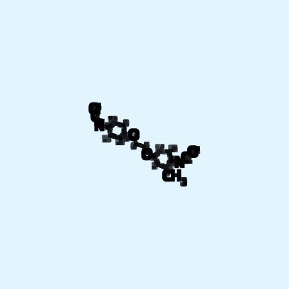 Cc1cc(OCCOc2ccc(N=C=O)cc2)ccc1N=C=O